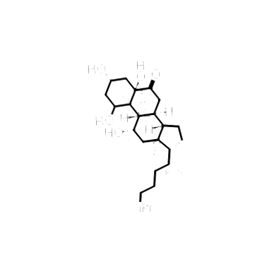 CC(C)CCC[C@@H](C)[C@H]1CC[C@H]2[C@@H]3CC(=O)[C@@]4(O)C[C@@H](O)CC(O)[C@]4(C)[C@H]3[C@@H](O)C[C@]12C